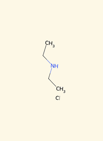 CCNCC.[C]